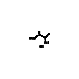 CONC(C)O.Cl